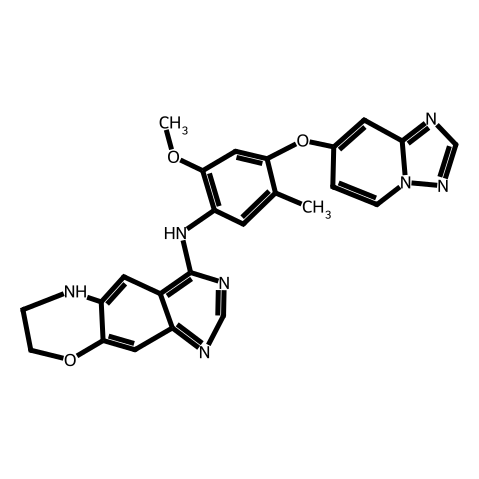 COc1cc(Oc2ccn3ncnc3c2)c(C)cc1Nc1ncnc2cc3c(cc12)NCCO3